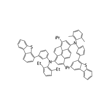 CCc1cccc(CC)c1N(c1cccc(-c2cccc3c2sc2ccccc23)c1)c1cc(C(C)C)c2ccc3c(N(c4cccc(-c5cccc6c5sc5ccccc56)c4)c4c(C)cccc4C)cc(C(C)C)c4ccc1c2c43